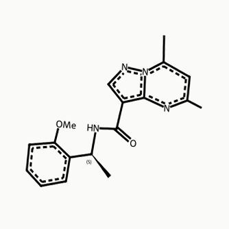 COc1ccccc1[C@H](C)NC(=O)c1cnn2c(C)cc(C)nc12